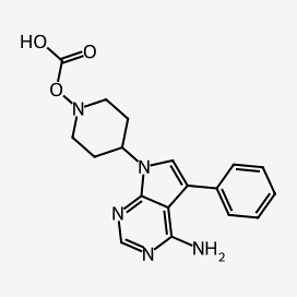 Nc1ncnc2c1c(-c1ccccc1)cn2C1CCN(OC(=O)O)CC1